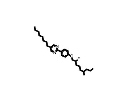 CCCCCCCCc1cnc(-c2ccc(OCC(F)CCCC(C)CCC)cc2)nc1